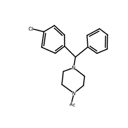 CC(=O)N1CCN(C(c2ccccc2)c2ccc(Cl)cc2)CC1